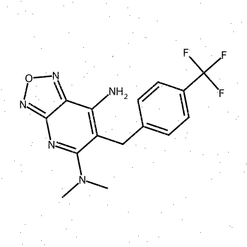 CN(C)c1nc2nonc2c(N)c1Cc1ccc(C(F)(F)F)cc1